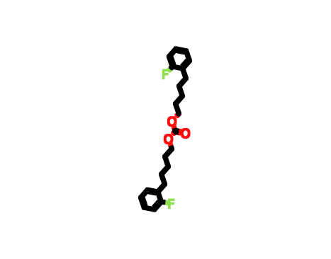 O=C(OCCCCCc1ccccc1F)OCCCCCc1ccccc1F